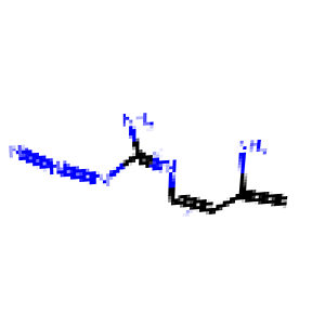 C=C(N)/C=C\N=C(\N)N=[N+]=[N-]